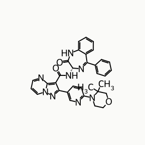 CC1(C)COCCN1c1ccc(-c2nn3cccnc3c2C(=O)N[C@H]2N=C(c3ccccc3)c3ccccc3NC2=O)cn1